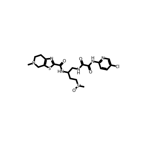 CN1CCc2nc(C(=O)NC(CC[S+](C)[O-])CNC(=O)C(=O)Nc3ccc(Cl)cn3)sc2C1